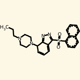 CCCN1CCN(C2C=CC=C3C2=NN=C3S(=O)(=O)c2cccc3ccccc23)CC1